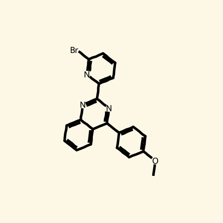 COc1ccc(-c2nc(-c3cccc(Br)n3)nc3ccccc23)cc1